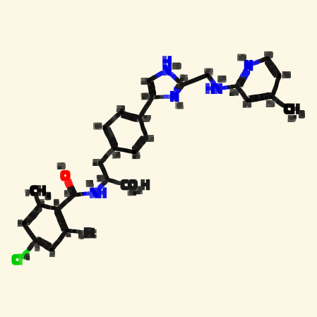 CCc1cc(Cl)cc(C)c1C(=O)NC(Cc1ccc(-c2c[nH]c(CNc3cc(C)ccn3)n2)cc1)C(=O)O